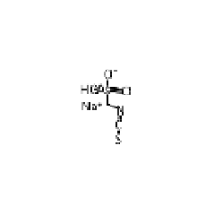 O=[As]([O-])(O)CN=C=S.[Na+]